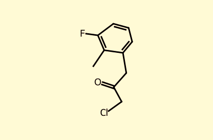 Cc1c(F)cccc1CC(=O)CCl